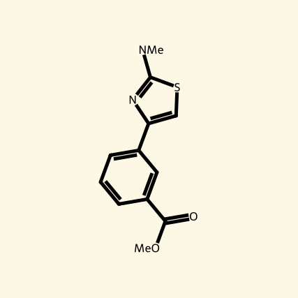 CNc1nc(-c2cccc(C(=O)OC)c2)cs1